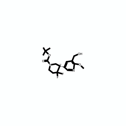 COc1ncc([C@H]2CN(C(=O)OC(C)(C)C)CCC2(F)F)cc1CO